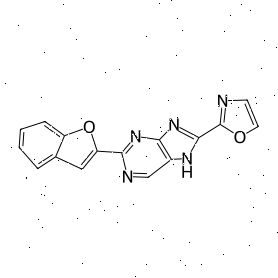 c1ccc2oc(-c3ncc4[nH]c(-c5ncco5)nc4n3)cc2c1